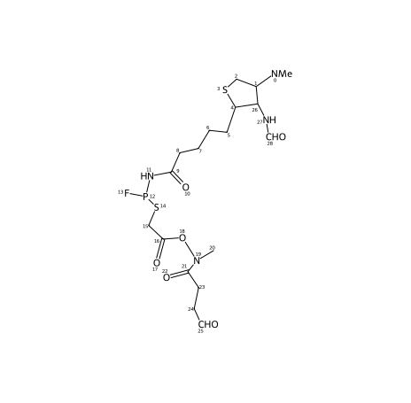 CNC1CSC(CCCCC(=O)NP(F)SCC(=O)ON(C)C(=O)CCC=O)C1NC=O